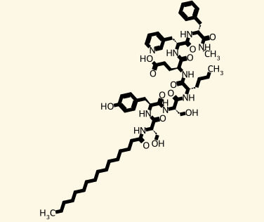 CCCCCCCCCCCCCCCC(=O)N[C@@H](CO)C(=O)N[C@@H](Cc1ccc(O)cc1)C(=O)N[C@@H](CO)C(=O)N[C@@H](CCCC)C(=O)N[C@@H](CCC(=O)O)C(=O)N[C@H](Cc1cccnc1)C(=O)N[C@H](Cc1ccccc1)C(=O)NC